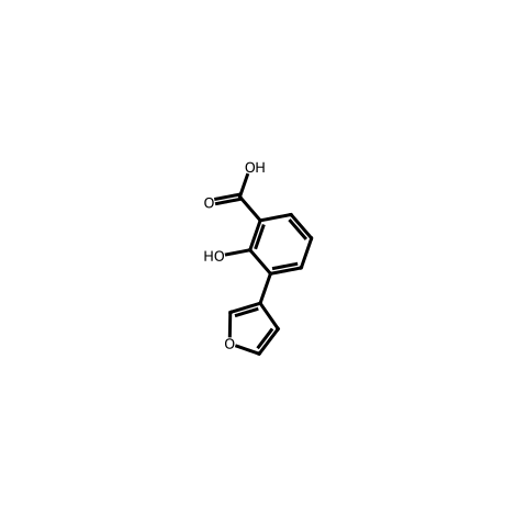 O=C(O)c1cccc(-c2ccoc2)c1O